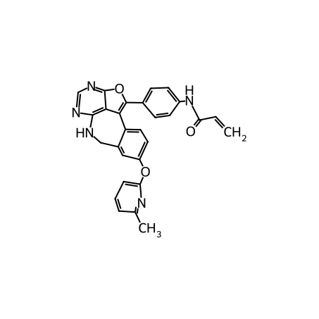 C=CC(=O)Nc1ccc(-c2oc3ncnc4c3c2-c2ccc(Oc3cccc(C)n3)cc2CN4)cc1